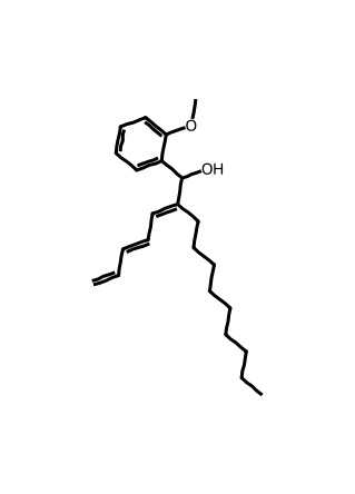 C=CC=CC=C(CCCCCCCCC)C(O)c1ccccc1OC